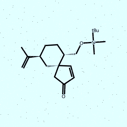 C=C(C)[C@H]1CC[C@H](CO[Si](C)(C)C(C)(C)C)[C@]2(C=CC(=O)C2)C1